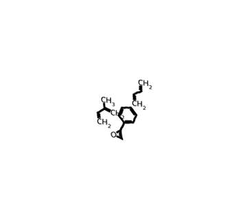 C1=C(c2ccccc2)O1.C=CC(=C)C.C=CC=C